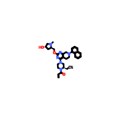 C=CC(=O)N1CCN(c2nc(OC[C@H]3C[C@H](O)CN3C)nc3c2CCN(c2cccc4ccccc24)C3)C[C@@H]1CC#N